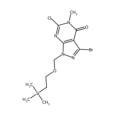 Cn1c(Cl)nc2c(c(Br)nn2COCC[Si](C)(C)C)c1=O